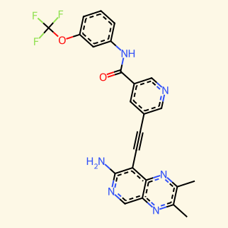 Cc1nc2cnc(N)c(C#Cc3cncc(C(=O)Nc4cccc(OC(F)(F)F)c4)c3)c2nc1C